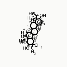 CC1(C)C[C@H]2C3=CC[C@@H]4[C@@]5(C)CC[C@H](O)[C@](C)(CO)[C@@H]5CC[C@@]4(C)[C@]3(C)C[C@@H](O)[C@@]2(CO)[C@@H](O)[C@@H]1O